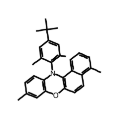 Cc1ccc2c(c1)Oc1ccc3c(C)cccc3c1N2c1c(C)cc(C(C)(C)C)cc1C